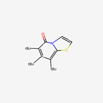 CC(C)(C)c1c(C(C)(C)C)c(=O)n2ccsc2c1C(C)(C)C